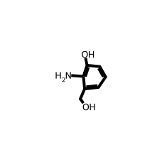 Nc1c(O)cccc1CO